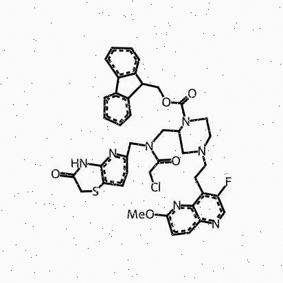 COc1ccc2ncc(F)c(CCN3CCN(C(=O)OCC4c5ccccc5-c5ccccc54)C(CN(Cc4ccc5c(n4)NC(=O)CS5)C(=O)CCl)C3)c2n1